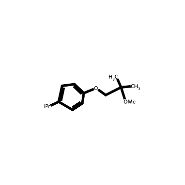 COC(C)(C)COc1ccc(C(C)C)cc1